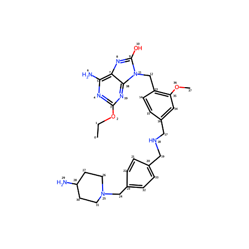 CCOc1nc(N)c2nc(O)n(Cc3ccc(CNCc4ccc(CN5CCC(N)CC5)cc4)cc3OC)c2n1